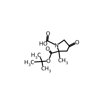 CC(C)(C)OC(=O)C1(C)CC(=O)CN1C(=O)O